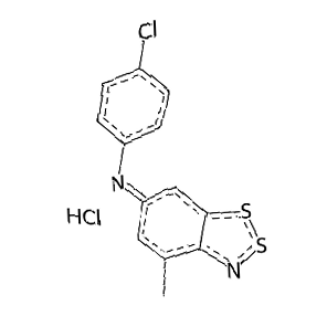 Cc1cc(=Nc2ccc(Cl)cc2)cc2ssnc1-2.Cl